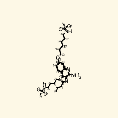 CCCc1nc2c(N)nc3cc(OCCCCCCNS(C)(=O)=O)ccc3c2n1CCCCNS(C)(=O)=O